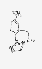 CCC1=C(n2nccn2)CCC(C)=C1